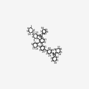 c1ccc(-c2ccc3c4c(-c5ccccc5)c(-c5cccc(-c6ccc(N(c7ccccc7)c7ccccc7)cc6)c5)ccc4n(-c4ccccc4)c3c2)cc1